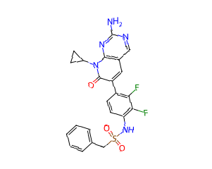 Nc1ncc2cc(-c3ccc(NS(=O)(=O)Cc4ccccc4)c(F)c3F)c(=O)n(C3CC3)c2n1